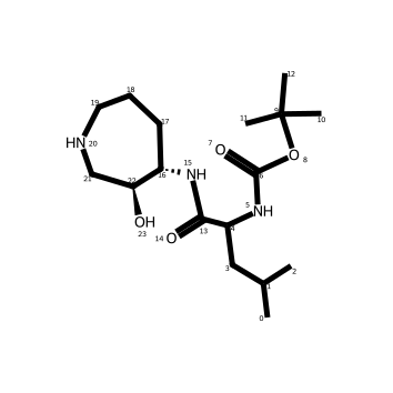 CC(C)CC(NC(=O)OC(C)(C)C)C(=O)N[C@H]1CCCNC[C@@H]1O